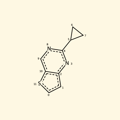 c1cc2nc(C3CC3)ncc2s1